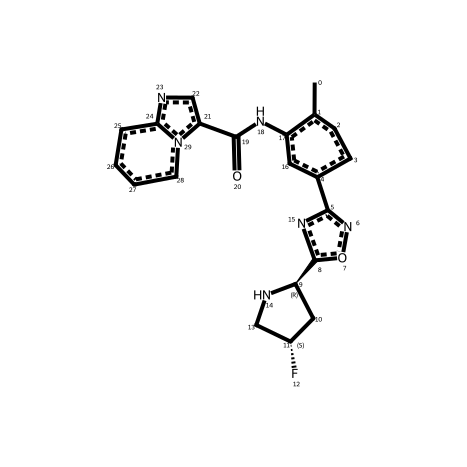 Cc1ccc(-c2noc([C@H]3C[C@H](F)CN3)n2)cc1NC(=O)c1cnc2ccccn12